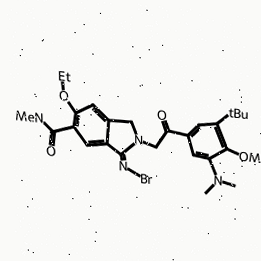 CCOc1cc2c(cc1C(=O)NC)/C(=N/Br)N(CC(=O)c1cc(N(C)C)c(OC)c(C(C)(C)C)c1)C2